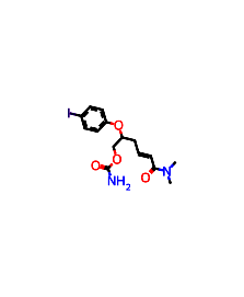 CN(C)C(=O)C=CCC(COC(N)=O)Oc1ccc(I)cc1